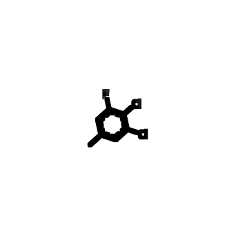 Cc1cc(F)c(Cl)c(Cl)c1